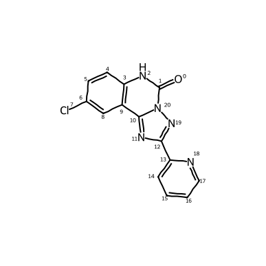 O=c1[nH]c2ccc(Cl)cc2c2nc(-c3ccccn3)nn12